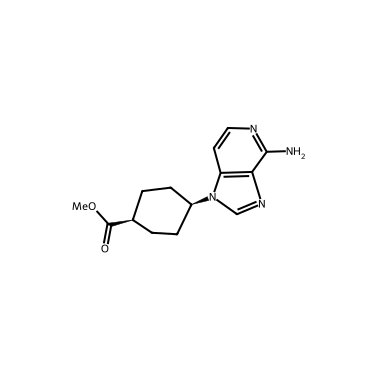 COC(=O)[C@H]1CC[C@@H](n2cnc3c(N)nccc32)CC1